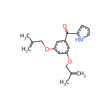 C=C(C)COc1cc(OCC(=C)C)cc(C(=O)c2ccc[nH]2)c1